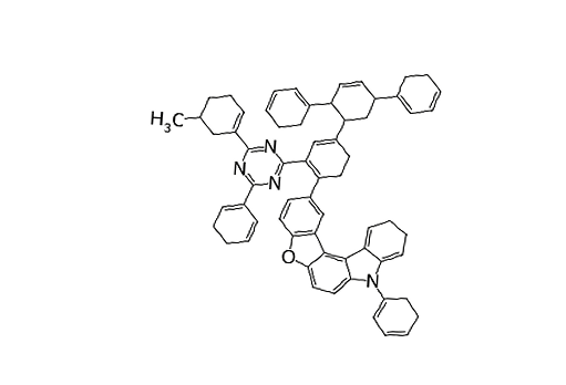 CC1CCC=C(c2nc(C3=CCCC=C3)nc(C3=C(c4ccc5oc6ccc7c(c8c(n7C7=CC=CCC7)=CCCC=8)c6c5c4)CCC(C4CC(C5=CC=CCC5)C=CC4C4=CC=CCC4)=C3)n2)C1